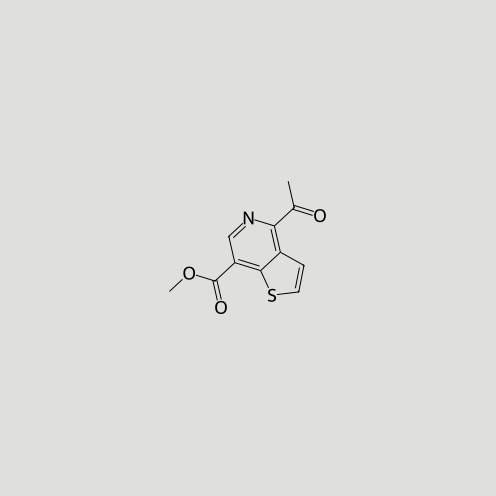 COC(=O)c1cnc(C(C)=O)c2ccsc12